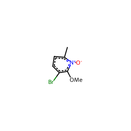 COc1c(Br)ccc(C)[n+]1[O-]